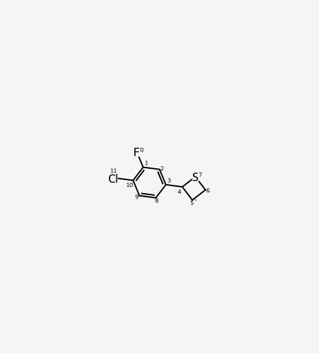 Fc1cc(C2[CH]CS2)ccc1Cl